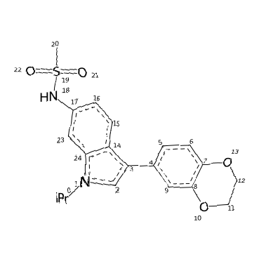 CC(C)n1cc(-c2ccc3c(c2)OCCO3)c2ccc(NS(C)(=O)=O)cc21